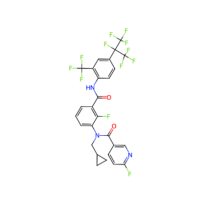 O=C(Nc1ccc(C(F)(C(F)(F)F)C(F)(F)F)cc1C(F)(F)F)c1cccc(N(CC2CC2)C(=O)c2ccc(F)nc2)c1F